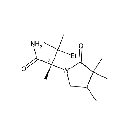 CCC(C)(C)[C@@](C)(C(N)=O)N1CC(C)C(C)(C)C1=O